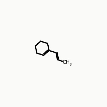 CC=CC1=CCCCC1